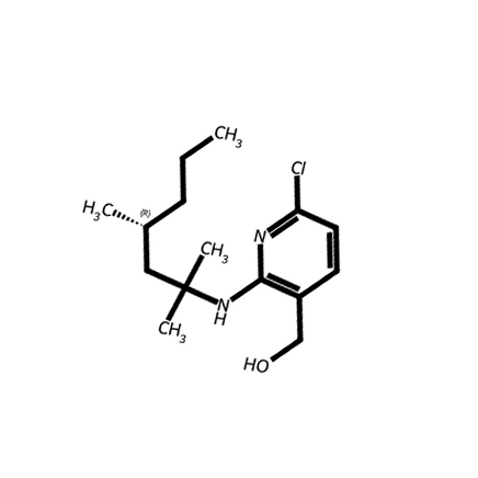 CCC[C@@H](C)CC(C)(C)Nc1nc(Cl)ccc1CO